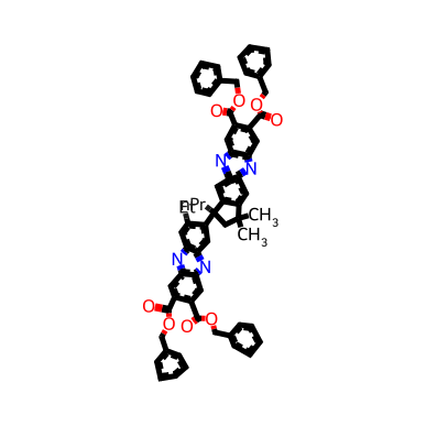 CCCC1(c2cc3nc4cc(C(=O)OCc5ccccc5)c(C(=O)OCc5ccccc5)cc4nc3cc2CC)CC(C)(C)c2cc3nc4cc(C(=O)OCc5ccccc5)c(C(=O)OCc5ccccc5)cc4nc3cc21